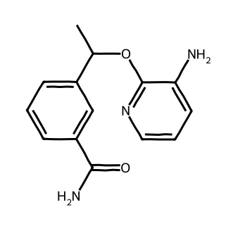 CC(Oc1ncccc1N)c1cccc(C(N)=O)c1